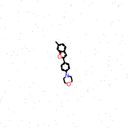 Cc1ccc2cc(-c3ccc(N4CCOCC4)cc3)oc2c1